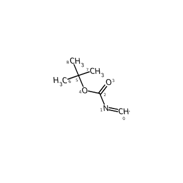 [CH]=NC(=O)OC(C)(C)C